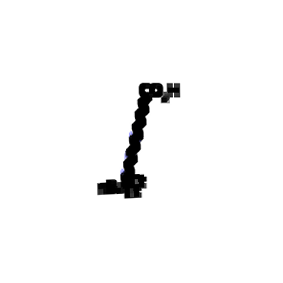 CCCCC(/C=C/C/C=C/C/C=C/CCCCCCC(=O)O)(CC)CC